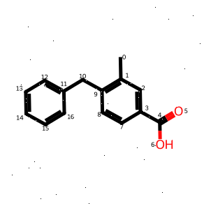 Cc1cc(C(=O)O)ccc1Cc1ccccc1